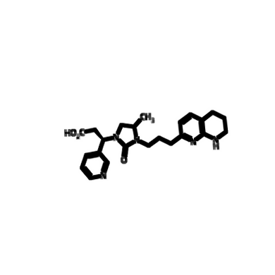 CC1CN([C@H](CC(=O)O)c2cccnc2)C(=O)N1CCCc1ccc2c(n1)NCCC2